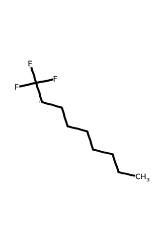 CCCCCCC[CH]C(F)(F)F